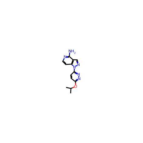 CC(C)Oc1ccc(-n2ncc3c(N)nccc32)nn1